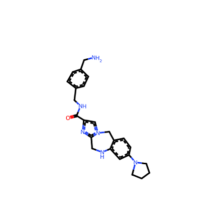 NCc1ccc(CNC(=O)c2cn3c(n2)CNc2cc(N4CCCC4)ccc2C3)cc1